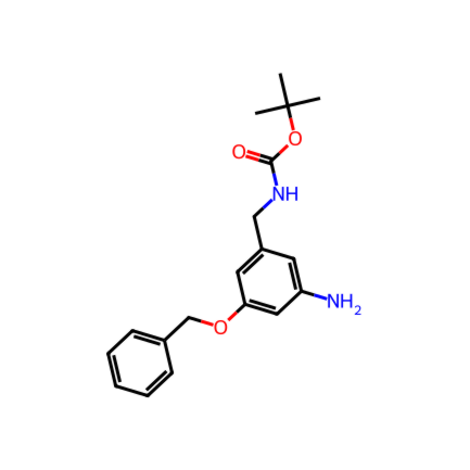 CC(C)(C)OC(=O)NCc1cc(N)cc(OCc2ccccc2)c1